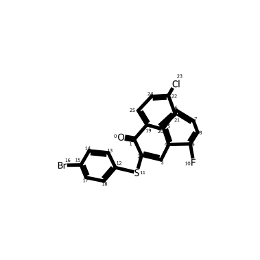 O=C(/C(=C\c1ccccc1F)Sc1ccc(Br)cc1)c1ccc(Cl)cc1